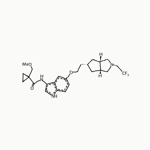 COCC1(C(=O)Nc2c[nH]c3ccc(OCC[C@@H]4C[C@@H]5CN(CC(F)(F)F)C[C@@H]5C4)cc23)CC1